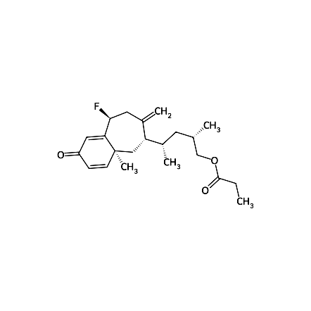 C=C1C[C@H](F)C2=CC(=O)C=C[C@]2(C)C[C@H]1[C@@H](C)C[C@H](C)COC(=O)CC